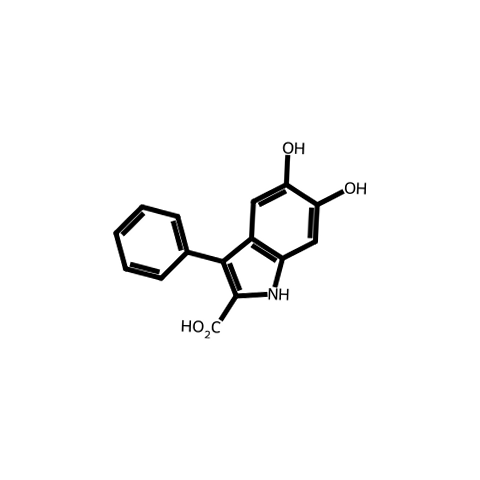 O=C(O)c1[nH]c2cc(O)c(O)cc2c1-c1ccccc1